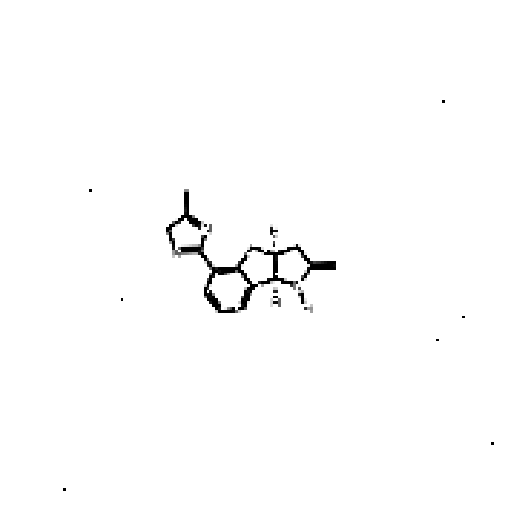 C=C1C[C@@H]2Cc3c(C4=NCC(C)=N4)cccc3[C@@H]2N1CC